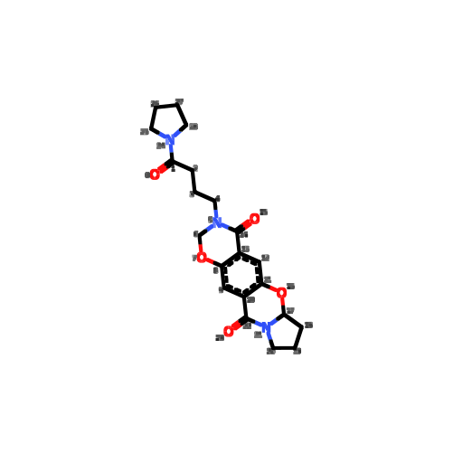 O=C(CCCN1COc2cc3c(cc2C1=O)OC1CCCN1C3=O)N1CCCC1